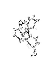 COc1ccc2c(c1)c1cccc3c1n2-c1ccccc1O3